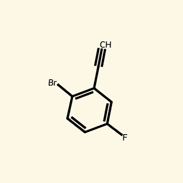 C#Cc1cc(F)ccc1Br